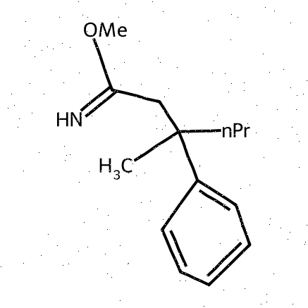 CCCC(C)(CC(=N)OC)c1ccccc1